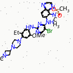 CCc1cc(Nc2ncc(Br)c(Nc3ccc4nccnc4c3N(C)S(C)(=O)=O)n2)c(OC)cc1N1CCN(C2CN(C)C2)CC1